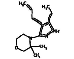 C=C/C=c1/c(N2CCOCC2(C)C)n[nH]/c1=C/C